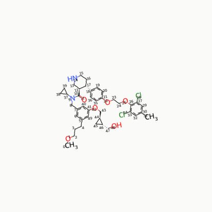 COCCCc1cc(CN(C(=O)[C@H]2CNCC[C@@H]2c2ccc(OCCOc3c(Cl)cc(C)cc3Cl)cc2)C2CC2)cc(OC[C@@H]2C[C@H]2CO)c1